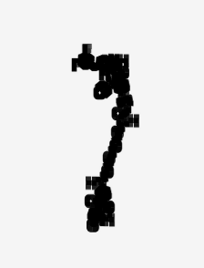 O=C(CN1CCN(c2ccc(C(=O)Nc3n[nH]c4ccc(Cc5cc(F)cc(F)c5)cc34)c(NC3CCOCC3)c2)CC1)NCCOCCOCCOCCOCCNc1ccc2c(c1)C(=O)N(C1CCC(=O)NC1=O)C2=O